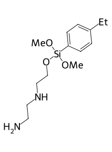 CCc1ccc([Si](OC)(OC)OCCNCCN)cc1